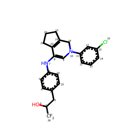 OC(Cc1ccc(NC2=CN(c3cccc(Cl)c3)CC3=C2CCC3)cc1)C(F)(F)F